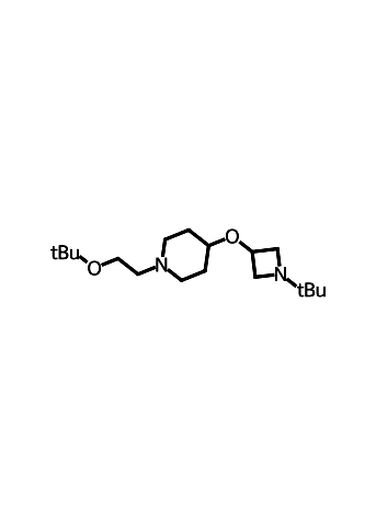 CC(C)(C)OCCN1CCC(OC2CN(C(C)(C)C)C2)CC1